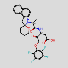 C[C@H](NC1(Cc2cccc3ccccc23)CCCCO1)C(=O)N[C@@H](CC(=O)O)C(=O)COc1c(F)c(F)cc(F)c1F